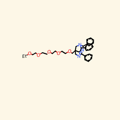 CCOCCOCCOCCOCCOCC12CN3C(c4ccccc4)N(C1)C(c1ccccc1)N(C2)C3c1ccccc1